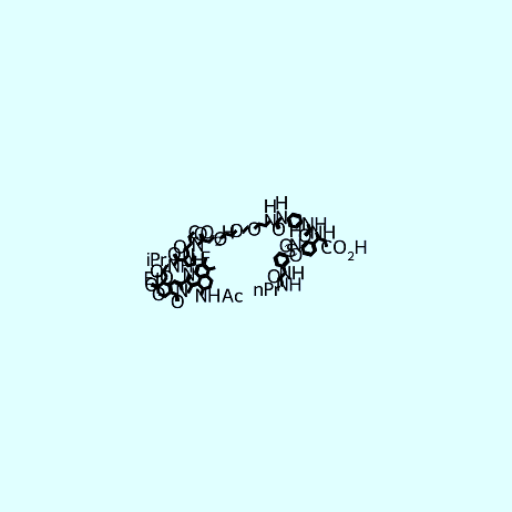 CCCNC(=O)Nc1cccc(S(=O)(=O)Nc2cccc(C(CC(=O)O)NC(=O)Nc3ccc(NC(=O)NCCOCCOCCOCCC(=O)NC(CC(=O)O)C(=O)N4CCCC4C(=O)NC(C(=O)OC4(CC)C(=O)OCc5c4cc4n(c5=O)Cc5c-4nc4cc(F)c(C)c6c4c5C(NC(C)=O)CC6)C(C)C)cc3)c2)c1